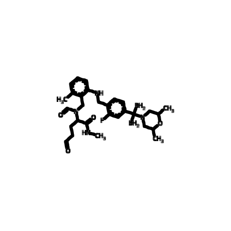 BC(B)(c1ccc(CNc2cccc(C)c2CN(C=O)C(CCC=O)C(=O)NC)c(F)c1)N1CC(C)OC(C)C1